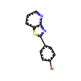 Brc1ccc(-c2nc3ncccc3s2)cc1